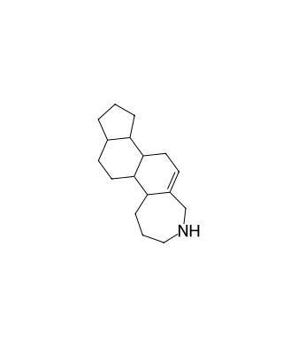 C1=C2CNCCCC2C2CCC3CCCC3C2C1